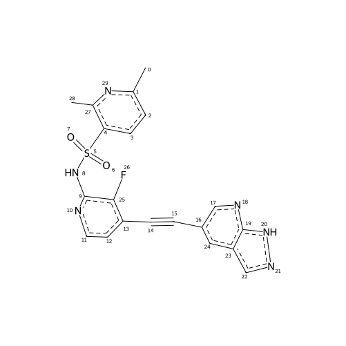 Cc1ccc(S(=O)(=O)Nc2nccc(C#Cc3cnc4[nH]ncc4c3)c2F)c(C)n1